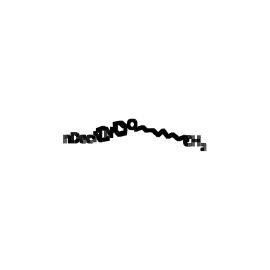 C=CCCCCCCCCCOc1ccc(N2CCN(CCCCCCCCCC)CC2)cc1